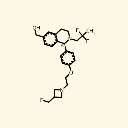 CC(F)(F)CN1CCc2cc(CO)ccc2[C@@H]1c1ccc(OCCN2CC(CF)C2)cc1